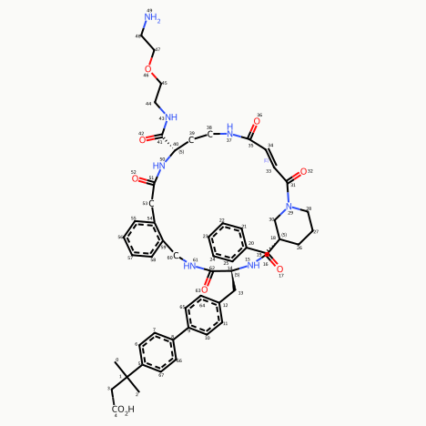 CC(C)(CC(=O)O)c1ccc(-c2ccc(C[C@@H]3NC(=O)[C@]4(Cc5ccccc5)CCCN(C4)C(=O)/C=C/C(=O)NCC[C@@H](C(=O)NCCOCCN)NC(=O)Cc4ccccc4CNC3=O)cc2)cc1